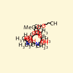 C#CCCCOCCO[C@H]1[C@H](C)O[C@@H](OC2[C@@H](C)C(=O)O[C@H](CC)[C@@](C)(O)[C@H](O)[C@@H](C)N(C)C[C@H](C)C[C@@](C)(O)[C@H](O[C@@H]3O[C@H](C)C[C@H](N(C)C)[C@H]3O)[C@H]2C)C[C@@]1(C)OC